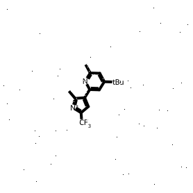 CC1=[N+]=C(C(F)(F)F)C=C1c1cc(C(C)(C)C)cc(C)n1